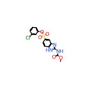 COC(=O)Nc1nc2cc(S(=O)(=O)Oc3cccc(Cl)c3)ccc2[nH]1